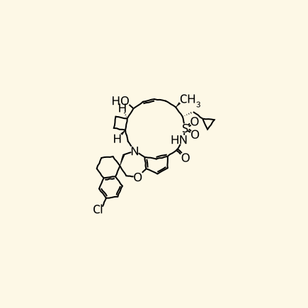 C[C@@H]1C/C=C\C(O)[C@@H]2CC[C@H]2CN2C[C@@]3(CCCc4cc(Cl)ccc43)COc3ccc(cc32)C(=O)NS(=O)(=O)[C@H]1CC1CC1